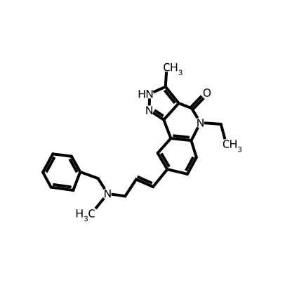 CCn1c(=O)c2c(C)[nH]nc2c2cc(C=CCN(C)Cc3ccccc3)ccc21